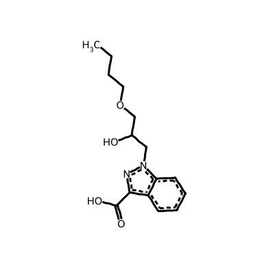 CCCCOCC(O)Cn1nc(C(=O)O)c2ccccc21